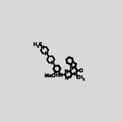 COc1cc(N2CCC(N3CCN(C)CC3)CC2)ccc1Nc1ncc2c(n1)n1c(cc3ccccc31)c(=O)n2C